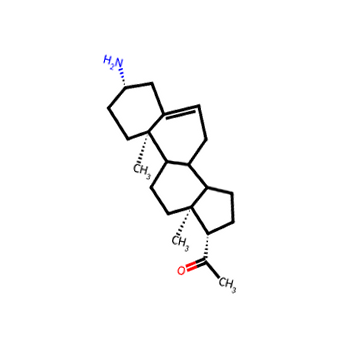 CC(=O)[C@H]1CCC2C3CC=C4C[C@@H](N)CC[C@]4(C)C3CC[C@@]21C